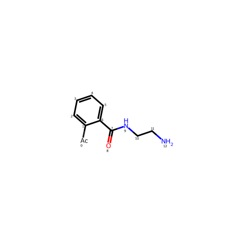 CC(=O)c1ccccc1C(=O)NCCN